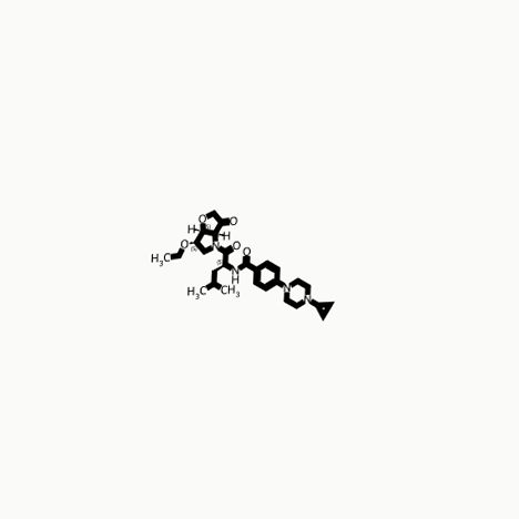 CCO[C@H]1CN(C(=O)[C@H](CC(C)C)NC(=O)c2ccc(N3CCN(C4CC4)CC3)cc2)[C@@H]2C(=O)CO[C@H]12